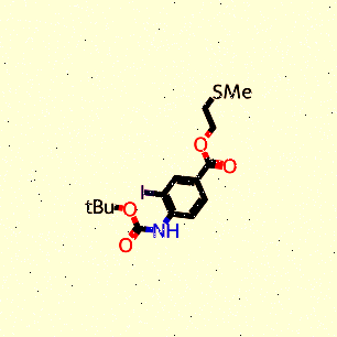 CSCCOC(=O)c1ccc(NC(=O)OC(C)(C)C)c(I)c1